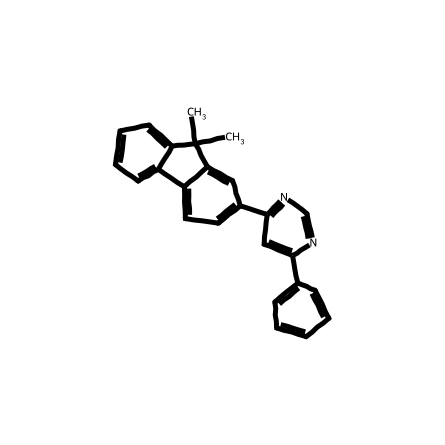 CC1(C)c2ccccc2-c2ccc(-c3cc(-c4ccccc4)ncn3)cc21